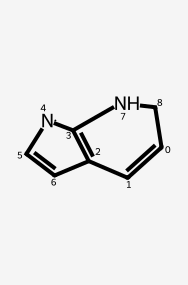 C1=CC2=C([N]C=C2)NC1